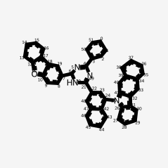 c1ccc(C2=NC(c3ccc4oc5ccccc5c4c3)NC(c3cc(-n4c5ccccc5c5cc6ccccc6cc54)c4ccccc4c3)=N2)cc1